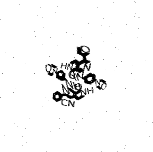 N#Cc1ccccc1-c1cc2cc[nH]c(=O)c2c(Nc2ccc(N3CCOCC3)cc2)n1.O=c1[nH]ccc2c(-c3ccoc3)cnc(Nc3ccc(N4CCOCC4)cc3)c12